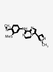 C=Nc1ccc(Nc2nccn3c(-c4cnn(C)c4)cnc23)cc1SC